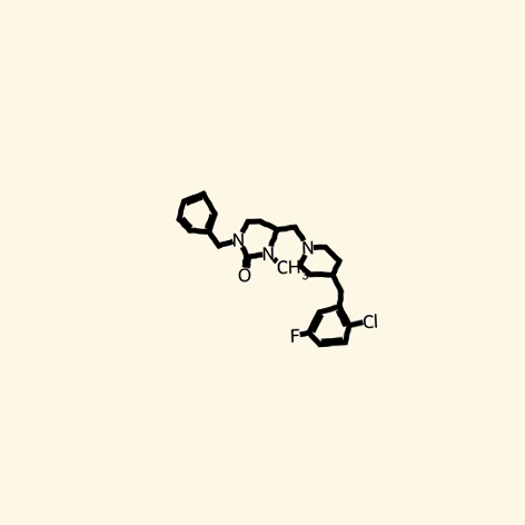 CN1C(=O)N(Cc2ccccc2)CCC1CN1CCC(Cc2cc(F)ccc2Cl)CC1